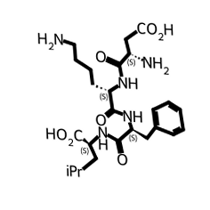 CC(C)C[C@H](NC(=O)[C@H](Cc1ccccc1)NC(=O)[C@H](CCCCN)NC(=O)[C@@H](N)CC(=O)O)C(=O)O